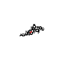 COc1ccc(CO[C@H]2CC(C)(C)Cc3nc(C4CCN(c5ncc(COCC(C)C)cn5)CC4)c([C@@H](F)c4ccc(C)cc4)c(C4CCC(F)(F)CC4)c32)cc1